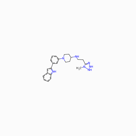 CN1NNN=C1CCNC1CCN(c2cccc(-c3cc4ccccc4[nH]3)c2)CC1